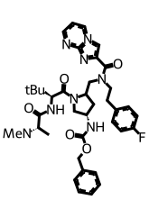 CN[C@@H](C)C(=O)N[C@H](C(=O)N1C[C@@H](NC(=O)OCc2ccccc2)CC1CN(CCc1ccc(F)cc1)C(=O)c1cn2cccnc2n1)C(C)(C)C